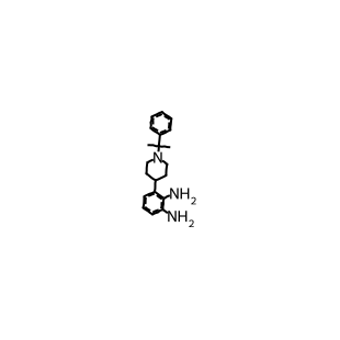 CC(C)(c1ccccc1)N1CCC(c2cccc(N)c2N)CC1